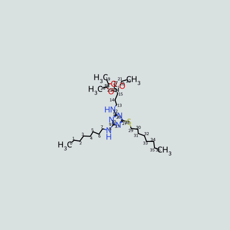 CCCCCCCCNc1nc(NCCC[Si](OCC)(OCC)OCC)nc(SCCCCCCCC)n1